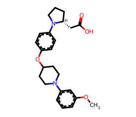 COc1cccc(N2CCC(Oc3ccc(N4CCC[C@@H]4CC(=O)O)cc3)CC2)c1